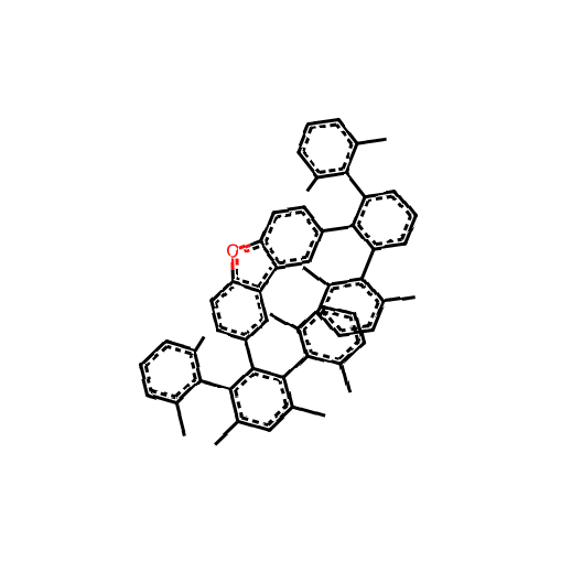 Cc1cccc(C)c1-c1cccc(-c2c(C)cccc2C)c1-c1ccc2oc3ccc(-c4c(-c5c(C)cccc5C)c(C)cc(C)c4-c4c(C)cccc4C)cc3c2c1